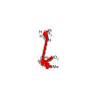 COc1ccc(C(NCCCC[C@H](NC(=O)[C@H](Cc2ccccc2)NC(=O)CCC(=O)NCCOCCOCCOCCOCCOCCOCCOCCNC(=O)O[C@H]2CC[C@@]3(C)C(=CC[C@H]4[C@@H]5CC[C@H]([C@H](C)CCCC(C)C)[C@@]5(C)CC[C@@H]43)C2)C(=O)Nc2ccc(COC(=O)Oc3ccc([N+](=O)[O-])cc3)cc2)(c2ccccc2)c2ccccc2)cc1